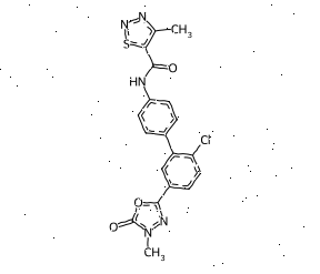 Cc1nnsc1C(=O)Nc1ccc(-c2cc(-c3nn(C)c(=O)o3)ccc2Cl)cc1